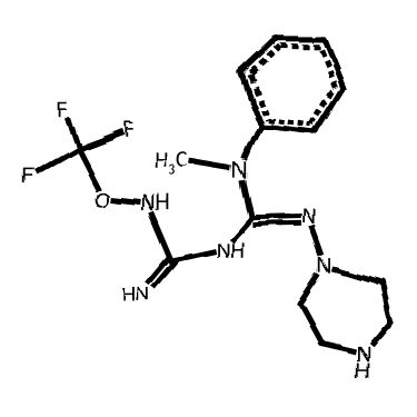 CN(C(=NN1CCNCC1)NC(=N)NOC(F)(F)F)c1ccccc1